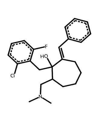 CN(C)CC1CCCCC(=Cc2ccccc2)C1(O)Cc1c(F)cccc1Cl